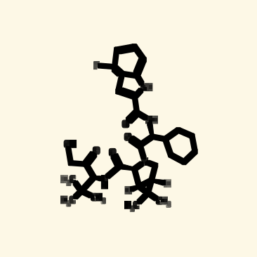 CC(C)(C)[C@H](NC(=O)[C@@H]1[C@@H]2[C@H](CN1C(=O)[C@@H](NC(=O)c1cc3c(F)cccc3[nH]1)C1CCCCC1)C2(C)C)C(=O)CO